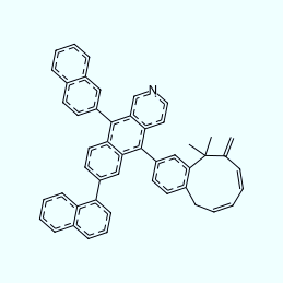 C=C1/C=C\C=C/Cc2ccc(-c3c4ccncc4c(-c4ccc5ccccc5c4)c4ccc(-c5cccc6ccccc56)cc34)cc2C1(C)C